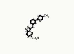 Cc1cnc(-c2cccc(Cc3nnc4ccc(C(=O)O)nn34)c2)nc1